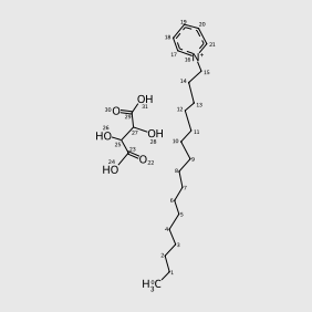 CCCCCCCCCCCCCCCC[n+]1ccccc1.O=C(O)C(O)C(O)C(=O)O